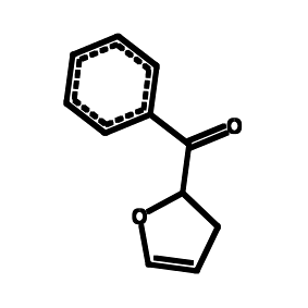 O=C(c1ccccc1)C1CC=CO1